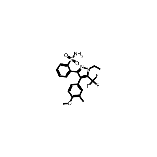 CCn1nc(-c2ccccc2S(N)(=O)=O)c(-c2ccc(OC)c(C)c2)c1C(F)(F)F